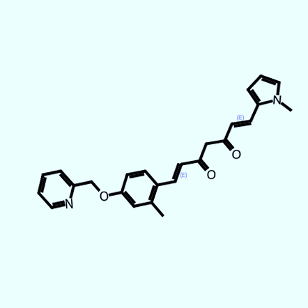 Cc1cc(OCc2ccccn2)ccc1/C=C/C(=O)CC(=O)/C=C/c1cccn1C